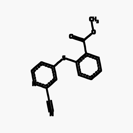 COC(=O)c1ccccc1Sc1ccnc(C#N)c1